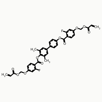 C=CC(=O)OCOc1ccc(C(=O)Oc2ccc(-c3cc(C)c(OC(=O)c4ccc(OCOC(=O)C=C)cc4F)c(C)c3)cc2)c(F)c1